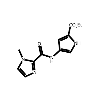 CCOC(=O)c1cc(NC(=O)c2nccn2C)c[nH]1